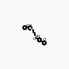 O=C(NCCCCN1CCC(O)(c2ccccc2)CC1)c1ccc(-c2ccccc2Cl)cc1